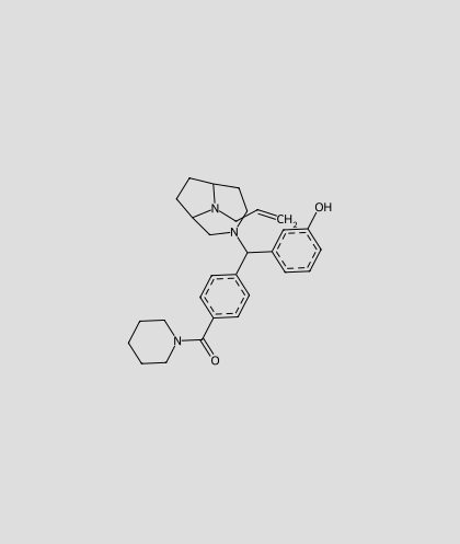 C=CCN1C2CCC1CN(C(c1ccc(C(=O)N3CCCCC3)cc1)c1cccc(O)c1)CC2